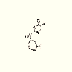 Fc1cccc(Nc2ncc(Br)c(Cl)n2)c1